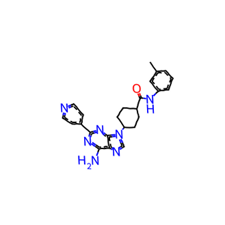 Cc1cccc(NC(=O)C2CCC(n3cnc4c(N)nc(-c5ccncc5)nc43)CC2)c1